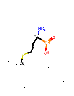 CSCC[C@H](N)[PH](=O)O